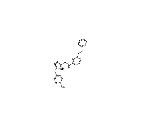 N#Cc1ccc(Cc2ncc(CNc3cccc(CCc4ccccc4)n3)[nH]2)cc1